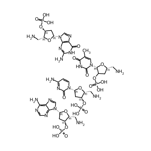 Cc1cn([C@@H]2O[C@H](CN)CC2OP(=O)(O)O)c(=O)[nH]c1=O.NC[C@H]1O[C@@H](n2ccc(N)nc2=O)C[C@@H]1OP(=O)(O)O.NC[C@H]1O[C@@H](n2cnc3c(=O)[nH]c(N)nc32)C[C@@H]1OP(=O)(O)O.NC[C@H]1O[C@@H](n2cnc3c(N)ncnc32)C[C@@H]1OP(=O)(O)O